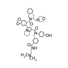 CN(C)CCNC(=O)c1cccc(CN(C(=O)c2cc(-c3cc4c(cc3C(=O)N3Cc5ccccc5CC3CN3CCOCC3)OCO4)n3c2CCCC3)c2ccc(O)cc2)c1